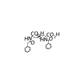 O=C(Cc1ccccc1)NC(CSSCC(NC(=O)c1ccccc1)C(=O)O)C(=O)O